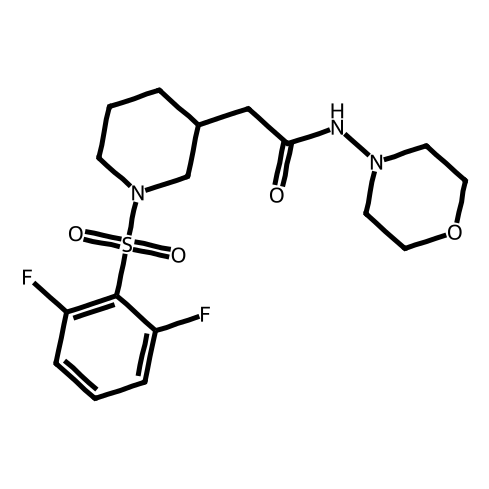 O=C(CC1CCCN(S(=O)(=O)c2c(F)cccc2F)C1)NN1CCOCC1